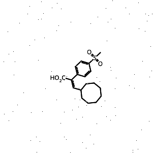 CS(=O)(=O)c1ccc(C(=CC2CCCCCCC2)C(=O)O)cc1